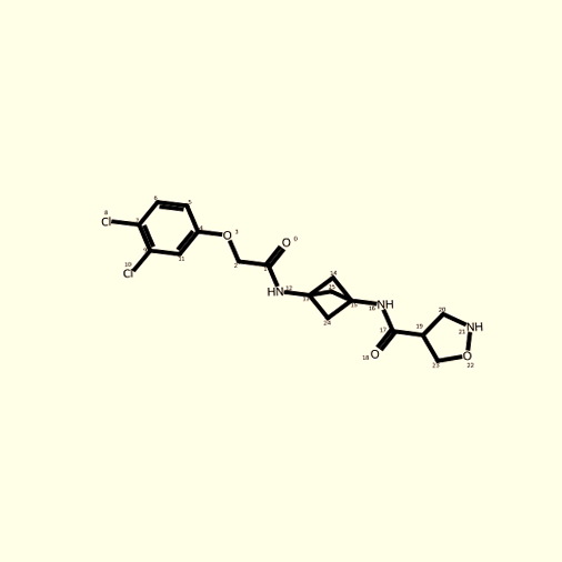 O=C(COc1ccc(Cl)c(Cl)c1)NC12CC(NC(=O)C3CNOC3)(C1)C2